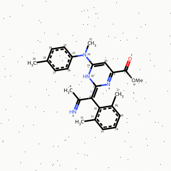 COC(=O)C1=N/C(=C(/C(C)=N)c2c(C)cccc2C)NC(N(C)c2ccc(C)cc2)=C1